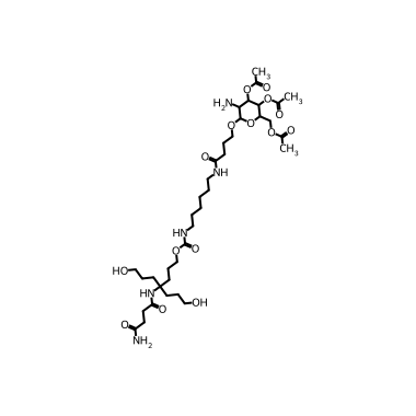 CC(=O)OCC1OC(OCCCC(=O)NCCCCCCNC(=O)OCCCC(CCCO)(CCCO)NC(=O)CCC(N)=O)C(N)C(OC(C)=O)C1OC(C)=O